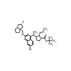 COCC1C(N(C)c2nc(OC[C@@]34CCCN3C[C@H](F)C4)nc3cc(Br)ccc23)CCN1C(=O)OC(C)(C)C